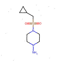 NN1CCN(S(=O)(=O)CC2CC2)CC1